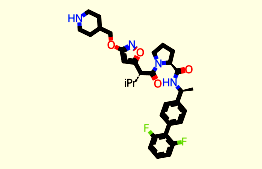 CC(C)[C@@H](C(=O)N1CCC[C@H]1C(=O)N[C@@H](C)c1ccc(-c2c(F)cccc2F)cc1)c1cc(OCC2CCNCC2)no1